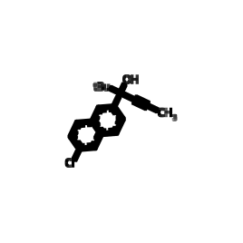 CC#CC(O)(c1ccc2cc(Cl)ccc2c1)C(C)(C)C